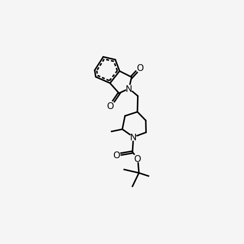 CC1CC(CN2C(=O)c3ccccc3C2=O)CCN1C(=O)OC(C)(C)C